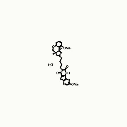 COc1cnc2sc3c(=O)n(CCCCN4C[C@@H]5COc6cccc(OC)c6[C@@H]5C4)c(=O)[nH]c3c2n1.Cl